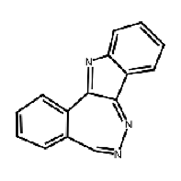 c1ccc2c3nc4ccccc4c-3nncc2c1